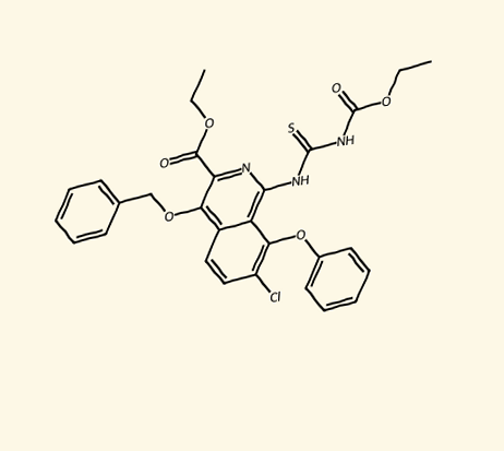 CCOC(=O)NC(=S)Nc1nc(C(=O)OCC)c(OCc2ccccc2)c2ccc(Cl)c(Oc3ccccc3)c12